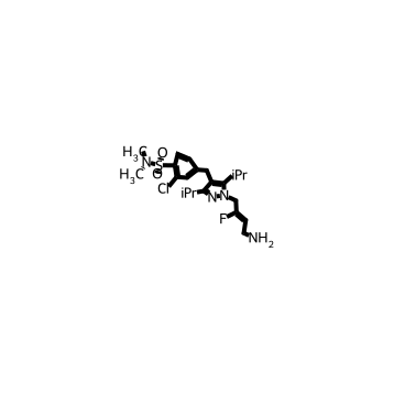 CC(C)c1nn(C/C(F)=C/CN)c(C(C)C)c1Cc1ccc(S(=O)(=O)N(C)C)c(Cl)c1